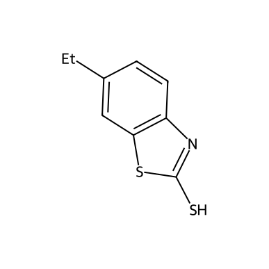 CCc1ccc2nc(S)sc2c1